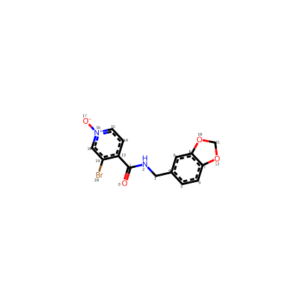 O=C(NCc1ccc2c(c1)OCO2)c1cc[n+]([O-])cc1Br